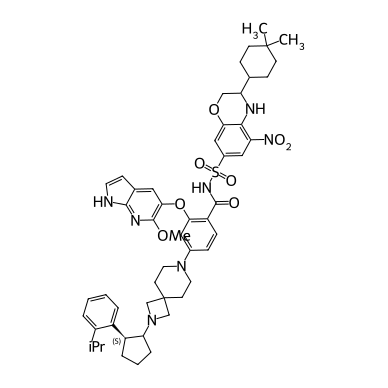 COc1nc2[nH]ccc2cc1Oc1cc(N2CCC3(CC2)CN(C2CCC[C@H]2c2ccccc2C(C)C)C3)ccc1C(=O)NS(=O)(=O)c1cc2c(c([N+](=O)[O-])c1)NC(C1CCC(C)(C)CC1)CO2